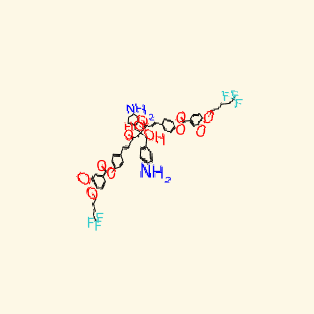 COc1cc(C(=O)Oc2ccc(C=CC(=O)CC(Cc3ccc(N)cc3)(Cc3ccc(N)cc3)C(O)(O)C(=O)C=Cc3ccc(OC(=O)c4ccc(OCCCCC(F)(F)F)c(OC)c4)cc3)cc2)ccc1OCCCCC(F)(F)F